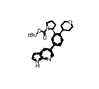 CC(C)(C)OC(=O)N1CCC[C@H]1c1cc(-c2cnc3[nH]ccc3c2)ccc1C1CCOCC1